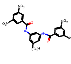 O=C(O)c1cc(NC(=O)c2cc([N+](=O)[O-])cc([N+](=O)[O-])c2)cc(NC(=O)c2cc([N+](=O)[O-])cc([N+](=O)[O-])c2)c1